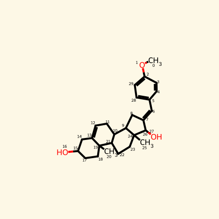 COc1ccc(/C=C2\CC3C4CC=C5CC(O)CCC5(C)C4CCC3(C)C2O)cc1